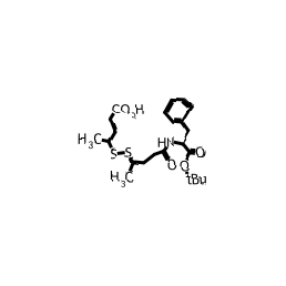 CC(CCC(=O)O)SSC(C)CCC(=O)N[C@@H](Cc1ccccc1)C(=O)OC(C)(C)C